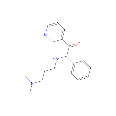 CN(C)CCCNC(C(=O)c1cccnc1)c1ccccc1